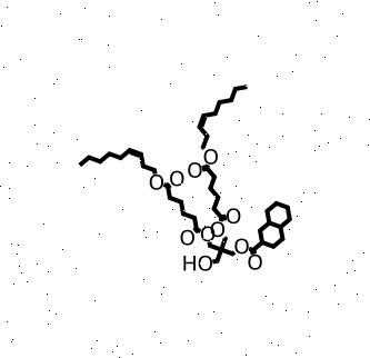 CCCCC/C=C\CCOC(=O)CCCCC(=O)OCC(CO)(COC(=O)CCCCC(=O)OCC/C=C\CCCCC)COC(=O)C1CCC2CCCCC2C1